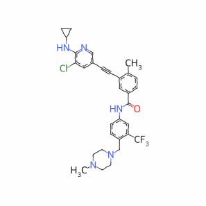 Cc1ccc(C(=O)Nc2ccc(CN3CCN(C)CC3)c(C(F)(F)F)c2)cc1C#Cc1cnc(NC2CC2)c(Cl)c1